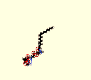 CCCCCCCC/C=C\CCCCCCCC(=O)N(C)CCOC(=O)CCNC(=O)C1OC(C)(C)OCC1(C)C